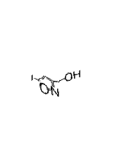 OCc1cc(I)on1